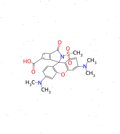 CN(C)c1ccc2c(c1)Oc1cc(N(C)C)ccc1C21c2cc(C(=O)O)ccc2C(=O)N1S(C)(=O)=O